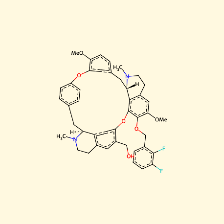 COc1ccc2cc1Oc1ccc(cc1)C[C@H]1c3cc(c(CO)cc3CCN1C)Oc1c(OCc3cccc(F)c3F)c(OC)cc3c1[C@H](C2)N(C)CC3